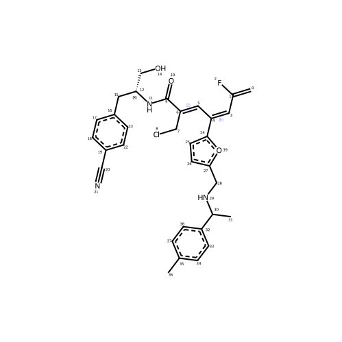 C=C(F)/C=C(\C=C(/CCl)C(=O)N[C@@H](CO)Cc1ccc(C#N)cc1)c1ccc(CNC(C)c2ccc(C)cc2)o1